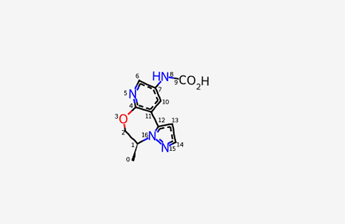 C[C@H]1COc2ncc(NC(=O)O)cc2-c2ccnn21